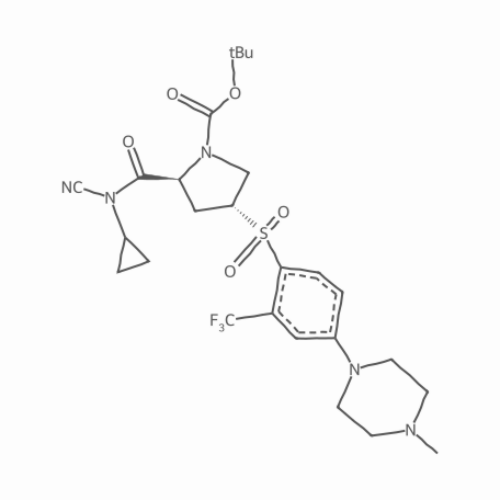 CN1CCN(c2ccc(S(=O)(=O)[C@@H]3C[C@@H](C(=O)N(C#N)C4CC4)N(C(=O)OC(C)(C)C)C3)c(C(F)(F)F)c2)CC1